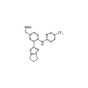 CNSc1ccc(Nc2ccc(C(F)(F)F)cn2)c(-c2cn3c(n2)CCC3)c1